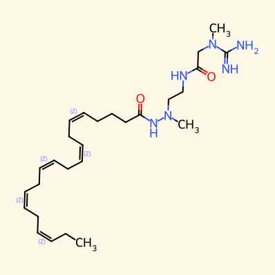 CC/C=C\C/C=C\C/C=C\C/C=C\C/C=C\CCCC(=O)NN(C)CCNC(=O)CN(C)C(=N)N